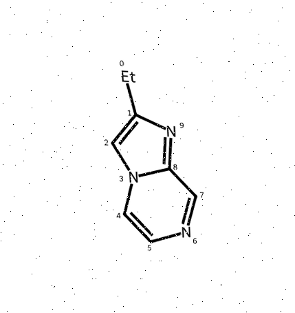 CCc1cn2ccncc2n1